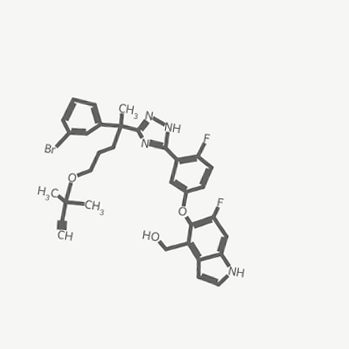 C#CC(C)(C)OCCCC(C)(c1cccc(Br)c1)c1n[nH]c(-c2cc(Oc3c(F)cc4[nH]ccc4c3CO)ccc2F)n1